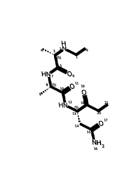 CCN[C@@H](C)C(=O)N[C@@H](C)C(=O)N[C@@H](CC(N)=O)C(=O)CC